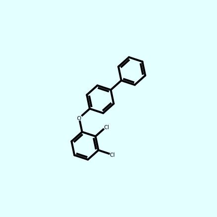 Clc1cccc(Oc2ccc(-c3ccccc3)cc2)c1Cl